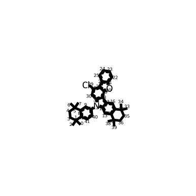 CC1(C)CCC(C)(C)c2cc(-n3c4cc5c(cc4c4c6oc7ccccc7c6c(Cl)cc43)C(C)(C)CCC5(C)C)ccc21